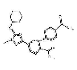 Cn1nc(-c2ccc(C(N)=O)c(-c3ccc(C(N)=O)cc3)c2)oc1=NC1CCCCC1